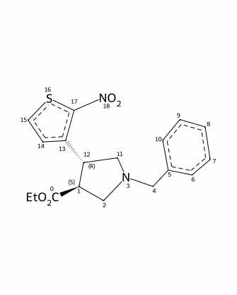 CCOC(=O)[C@@H]1CN(Cc2ccccc2)C[C@H]1c1ccsc1[N+](=O)[O-]